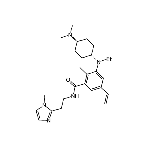 C=Cc1cc(C(=O)NCCc2nccn2C)c(C)c(N(CC)[C@H]2CC[C@H](N(C)C)CC2)c1